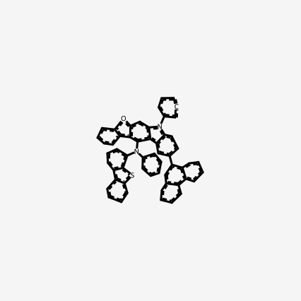 c1ccc(N(c2cccc3c2sc2ccccc23)c2c3c(cc4c2c2cc(-c5cc6ccccc6c6ccccc56)ccc2n4-c2ccccc2)oc2ccccc23)cc1